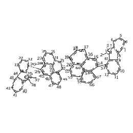 C[Si]1(C)c2ccccc2-c2cccc(-c3cc4cccc5c(-c6cc7cccc8c(-c9cccc%10c9[Si](C)(C)c9ccccc9-%10)cc9cccc6c9c78)cc6cccc3c6c45)c21